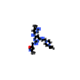 CC(C)c1cc(CNc2nc(NCCN3CCN(C)CC3)cc(Nc3cc(C(C)C)[nH]n3)n2)on1